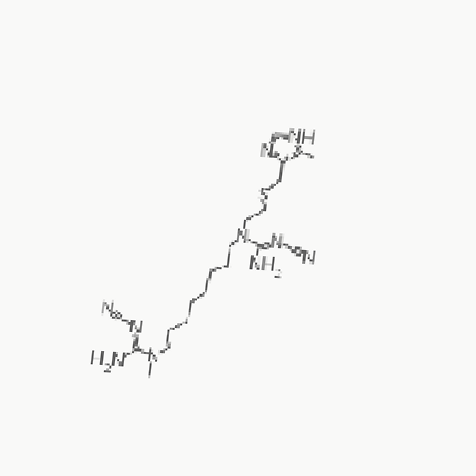 Cc1[nH]cnc1CSCCN(CCCCCCCCN(C)C(N)=NC#N)C(N)=NC#N